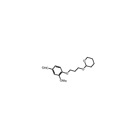 COc1cc(C=O)ccc1OCCCOC1CCCCO1